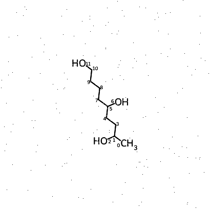 CC(O)CCC(O)CCCCO